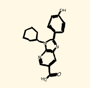 O=C(O)c1cnc2c(c1)nc(-c1ccc(O)cc1)n2C1CCCCC1